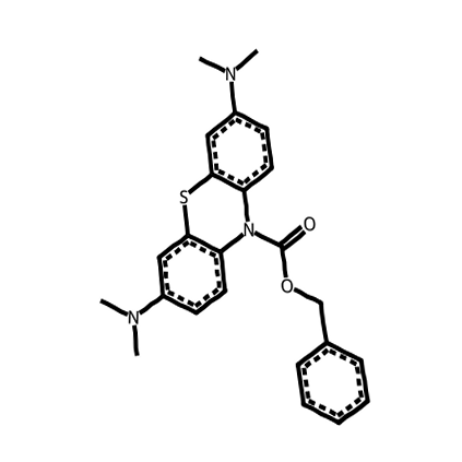 CN(C)c1ccc2c(c1)Sc1cc(N(C)C)ccc1N2C(=O)OCc1ccccc1